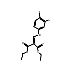 CCOC(=O)C(=CNc1ccc(I)c(Cl)c1)C(=O)OCC